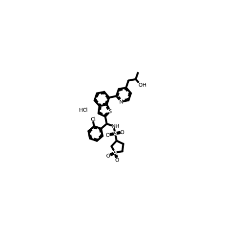 CC(O)Cc1ccnc(-c2cccc3cc(C(NS(=O)(=O)C4CCS(=O)(=O)C4)c4ccccc4Cl)sc23)c1.Cl